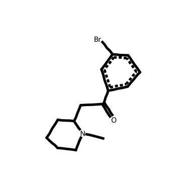 CN1CCCCC1CC(=O)c1cccc(Br)c1